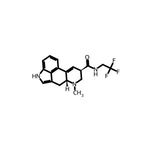 CN1C[C@H](C(=O)NCC(F)(F)F)C=C2c3cccc4[nH]cc(c34)C[C@H]21